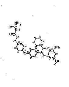 COc1cc(C=C(C(=O)N2CCCCC2)c2ccc(Oc3ccc(CCC(=O)NC(N)=O)cc3)cc2)cc(OC)c1